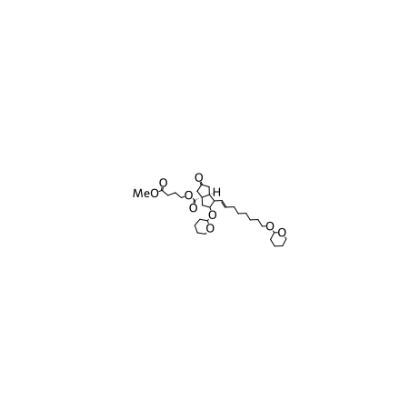 COC(=O)CCCOC(=O)[C@]12CC(=O)C[C@H]1C(/C=C/CCCCCCOC1CCCCO1)C(OC1CCCCO1)C2